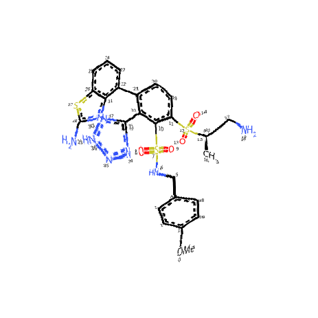 COc1ccc(CNS(=O)(=O)c2c(S(=O)(=O)[C@H](C)CN)ccc(-c3cccc4sc(N)nc34)c2-c2nn[nH]n2)cc1